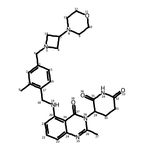 Cc1cc(CN2CC(N3CCOCC3)C2)ccc1CNc1cccc2nc(C)n(C3CCC(=O)NC3=O)c(=O)c12